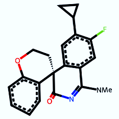 CNC1=NC(=O)[C@]2(CCOc3ccccc32)c2cc(C3CC3)c(F)cc21